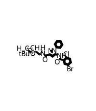 CC(C)(C)[Si](C)(C)OCCNC(=O)c1cc(NC(=O)c2cc(Br)ccc2Cl)n(-c2ccccc2)n1